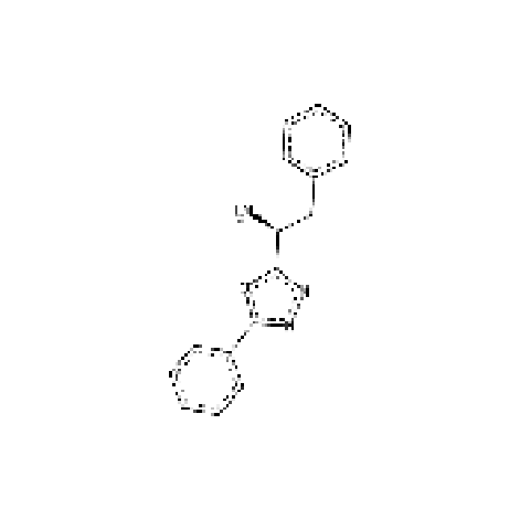 N[C@@H](Cc1ccccc1)c1nnc(-c2ccccc2)o1